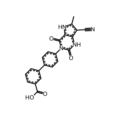 Cc1[nH]c2c(=O)n(-c3ccc(-c4cccc(C(=O)O)c4)cc3)c(=O)[nH]c2c1C#N